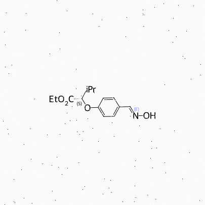 CCOC(=O)[C@@H](Oc1ccc(/C=N/O)cc1)C(C)C